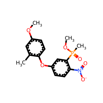 COc1ccc(Oc2ccc([N+](=O)[O-])c(P(C)(=O)OC)c2)c(C)c1